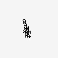 O=C(NCc1ncc(F)cc1F)c1nc(N2CCC(N3CCCCC3)CC2)no1